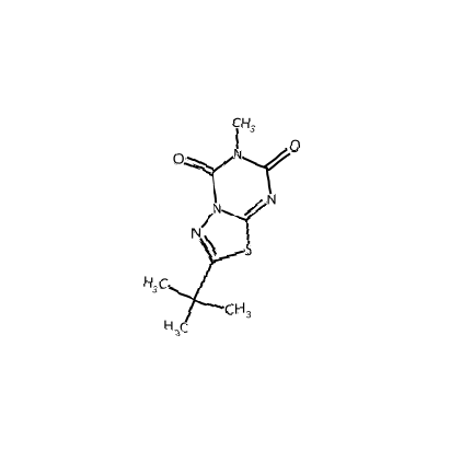 Cn1c(=O)nc2sc(C(C)(C)C)nn2c1=O